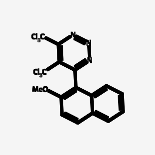 COc1ccc2ccccc2c1-c1nnnc(C(Cl)(Cl)Cl)c1C(Cl)(Cl)Cl